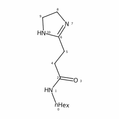 CCCCCCNC(=O)CCC1=NCCN1